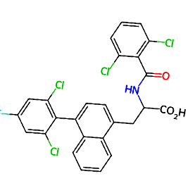 O=C(NC(Cc1ccc(-c2c(Cl)cc(F)cc2Cl)c2ccccc12)C(=O)O)c1c(Cl)cccc1Cl